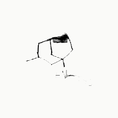 CC1CC2=CCC(NC=O)(C2)C1